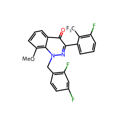 COc1cccc2c(=O)c(-c3cccc(F)c3C(F)(F)F)nn(Cc3ccc(F)cc3F)c12